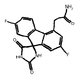 NC(=O)Cc1cc(F)cc2c1-c1ccc(F)cc1C21NC(=O)NC1=O